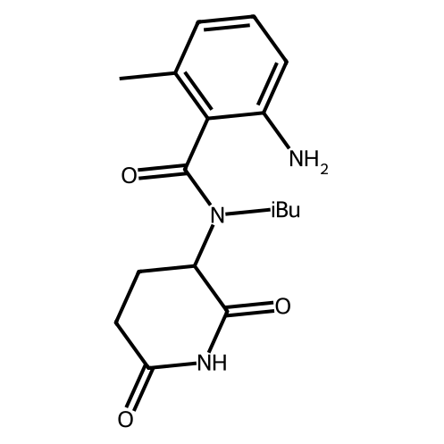 CCC(C)N(C(=O)c1c(C)cccc1N)C1CCC(=O)NC1=O